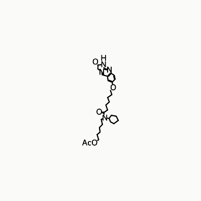 CC(=O)OCCCCCCN(C(=O)CCCCCCOc1ccc2c(c1)CN1CC(=O)NC1=N2)C1CCCCC1